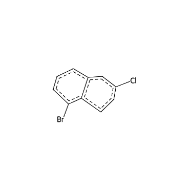 Clc1ccc2c(Br)cccc2c1